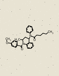 CCCCCC(=O)N(c1ccccc1)C1CC(C)N(C(=O)c2ccc(OC)cc2)c2ccccc21